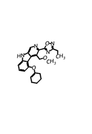 CCc1noc(-c2ncc3[nH]c4cccc(OC5=CCCCC5)c4c3c2COC)n1